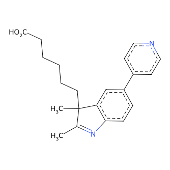 CC1=Nc2ccc(-c3ccncc3)cc2C1(C)CCCCCC(=O)O